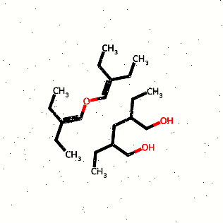 CCC(=COC=C(CC)CC)CC.CCC(CO)CC(CC)CO